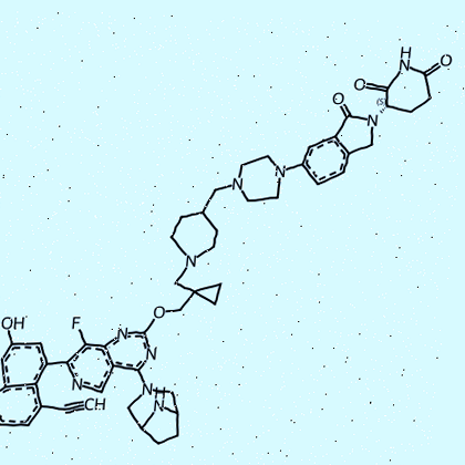 C#Cc1cccc2cc(O)cc(-c3ncc4c(N5CC6CCC(C5)N6)nc(OCC5(CN6CCC(CN7CCN(c8ccc9c(c8)C(=O)N([C@H]8CCC(=O)NC8=O)C9)CC7)CC6)CC5)nc4c3F)c12